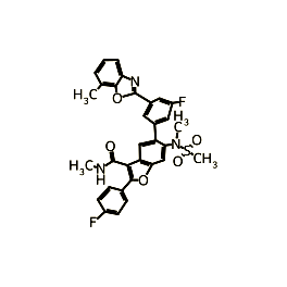 CNC(=O)c1c(-c2ccc(F)cc2)oc2cc(N(C)S(C)(=O)=O)c(-c3cc(F)cc(-c4nc5cccc(C)c5o4)c3)cc12